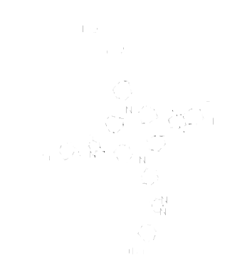 CC(=O)CCc1ccc(N(c2ccc(-c3nnc(-c4ccc(C(C)(C)C)cc4)o3)cc2)c2ccc(-c3nc4cc(F)c(F)cc4nc3-c3ccc(N(c4ccc(CCC(=O)OCCO)cc4)c4ccc(-c5nnc(-c6ccc(C(C)(C)C)cc6)o5)cc4)cc3)cc2)cc1